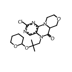 CC(C)(CN1C(=O)C2COCCN2c2nc(Cl)ncc21)OC1CCCCO1